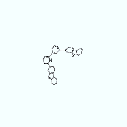 c1cc(-c2ccc3c(c2)sc2ccccc23)cc(-c2cccc(-c3ccc4c(c3)sc3ccccc34)n2)c1